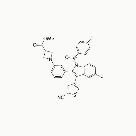 COC(=O)C1CN(c2cccc(-c3c(-c4csc(C#N)c4)c4cc(F)ccc4n3[S+]([O-])c3ccc(C)cc3)c2)C1